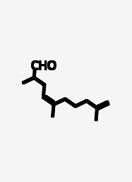 C=C(C)CCCC(C)=CCC(C)C=O